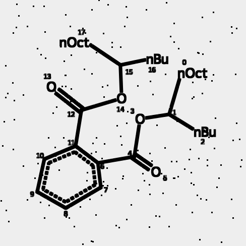 CCCCCCCCC(CCCC)OC(=O)c1ccccc1C(=O)OC(CCCC)CCCCCCCC